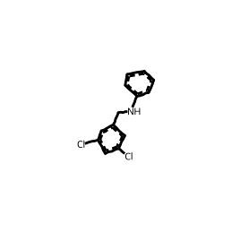 Clc1cc(Cl)cc(CNc2ccccc2)c1